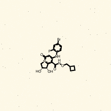 O=C(NOCC1CCC1)c1c(Nc2ccc(Br)cc2F)cc(=O)n2c1[C@H](O)[C@H](O)C2